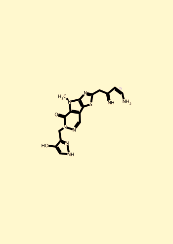 Cn1c2nc(CC(=N)/C=C\N)sc2c2cnn(Cc3n[nH]cc3O)c(=O)c21